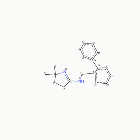 CC1(C)CCC(NCc2ccccc2-c2ccccc2)=N1